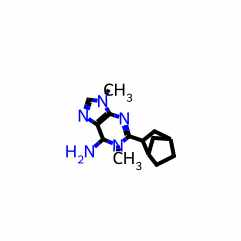 CN1C(C2CC3CCC2C3)=Nc2c(ncn2C)C1N